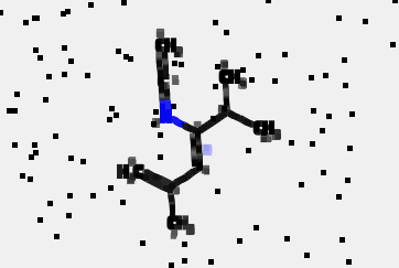 C=C=N/C(=C\C(=C)C)C(C)C